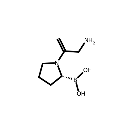 C=C(CN)N1CCC[C@H]1B(O)O